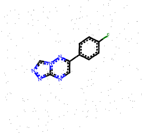 Fc1ccc(-c2cnc3nncn3n2)cc1